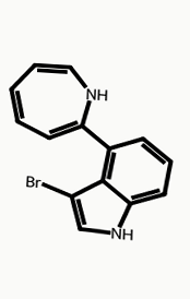 Brc1c[nH]c2cccc(C3=CC=CC=CN3)c12